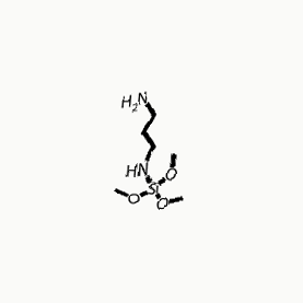 CO[Si](NCCCN)(OC)OC